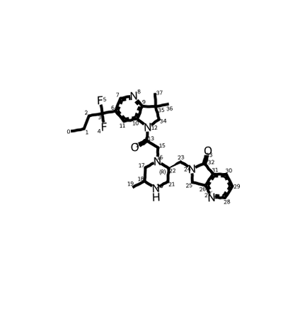 CCCC(F)(F)c1cnc2c(c1)N(C(=O)CN1CC(C)NC[C@@H]1CN1Cc3ncccc3C1=O)CC2(C)C